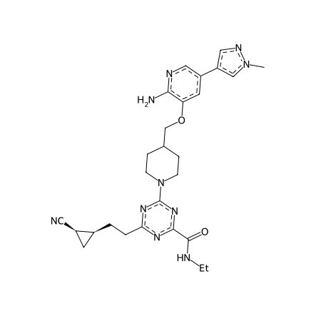 CCNC(=O)c1nc(CC[C@H]2C[C@H]2C#N)nc(N2CCC(COc3cc(-c4cnn(C)c4)cnc3N)CC2)n1